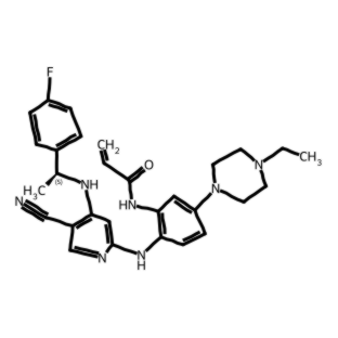 C=CC(=O)Nc1cc(N2CCN(CC)CC2)ccc1Nc1cc(N[C@@H](C)c2ccc(F)cc2)c(C#N)cn1